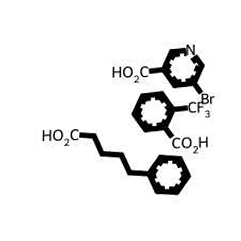 O=C(O)CCCCc1ccccc1.O=C(O)c1ccccc1C(F)(F)F.O=C(O)c1cncc(Br)c1